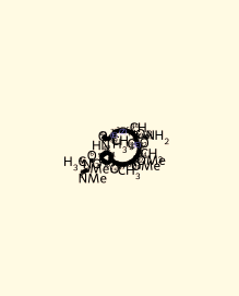 CNCCN(C)C(=O)Oc1cc2cc(c1)[C@H](OC)[C@@H](C)C[C@H](OC)[C@H](OC)C(C)/C=C(\C)[C@H](OC(N)=O)[C@@H](C)/C=C\C=C(/C)C(=O)N2